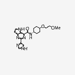 COCCO[C@H]1CC[C@H](NC(=O)c2nc(-c3c[nH]cn3)nc3cc[nH]c23)CC1